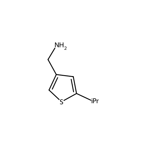 CC(C)c1cc(CN)cs1